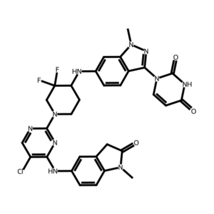 CN1C(=O)Cc2cc(Nc3nc(N4CCC(Nc5ccc6c(-n7ccc(=O)[nH]c7=O)nn(C)c6c5)C(F)(F)C4)ncc3Cl)ccc21